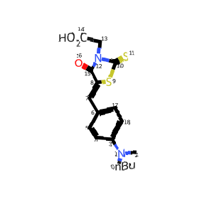 CCCCN(C)c1ccc(/C=C2\SC(=S)N(CC(=O)O)C2=O)cc1